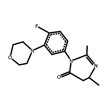 CC1=NC(C)CC(=O)N1c1ccc(F)c(N2CCOCC2)c1